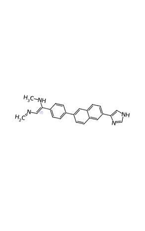 C=N/C=C(\NC)c1ccc(-c2ccc3cc(-c4c[nH]cn4)ccc3c2)cc1